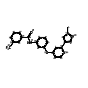 Cn1cc(-c2cc(Oc3cccc(NC(=O)c4cccc(C(F)(F)F)c4)c3)ccn2)cn1